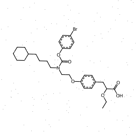 CCOC(Cc1ccc(OCCN(CCCCC2CCCCC2)C(=O)Oc2ccc(Br)cc2)cc1)C(=O)O